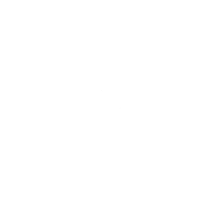 C1=CC2=CCCCC2=CC1